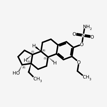 CCOc1cc2c(cc1OS(N)(=O)=O)CC[C@@H]1[C@@H]2CC[C@]2(CC)[C@H](O)CC[C@@H]12